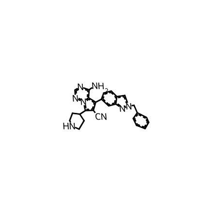 N#Cc1c(-c2ccc3cn(Cc4ccccc4)nc3c2)c2c(N)ncnn2c1C1CCNCC1